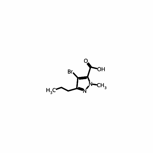 CCCc1nn(C)c(C(=O)O)c1Br